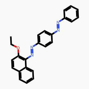 CCOc1ccc2ccccc2c1/N=N/c1ccc(/N=N/c2ccccc2)cc1